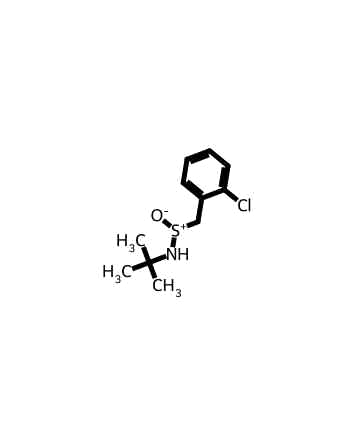 CC(C)(C)N[S+]([O-])Cc1ccccc1Cl